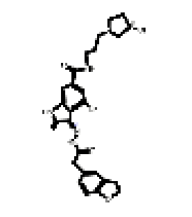 O=C(Cc1ccc2c(c1)CCO2)N/N=C1\C(=O)Nc2cc(C(=O)NCCCN3CC[C@@H](O)C3)cc(Br)c21